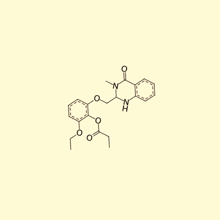 CCOc1cccc(OCC2Nc3ccccc3C(=O)N2C)c1OC(=O)CC